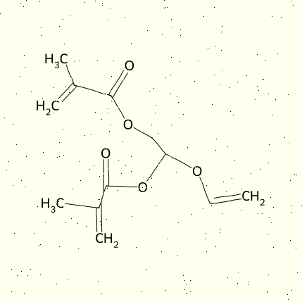 C=COC(COC(=O)C(=C)C)OC(=O)C(=C)C